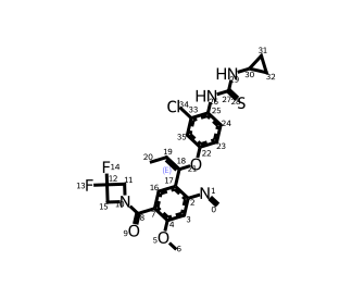 C=Nc1cc(OC)c(C(=O)N2CC(F)(F)C2)cc1/C(=C\C)Oc1ccc(NC(=S)NC2CC2)c(Cl)c1